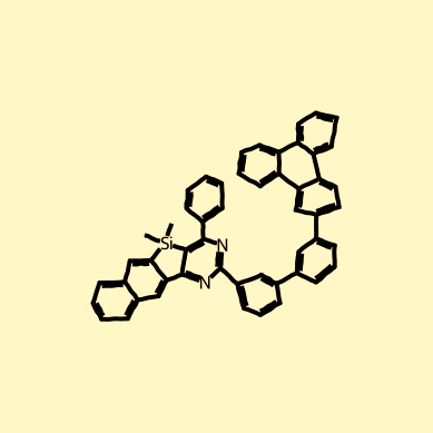 C[Si]1(C)c2cc3ccccc3cc2-c2nc(-c3cccc(-c4cccc(-c5ccc6c7ccccc7c7ccccc7c6c5)c4)c3)nc(-c3ccccc3)c21